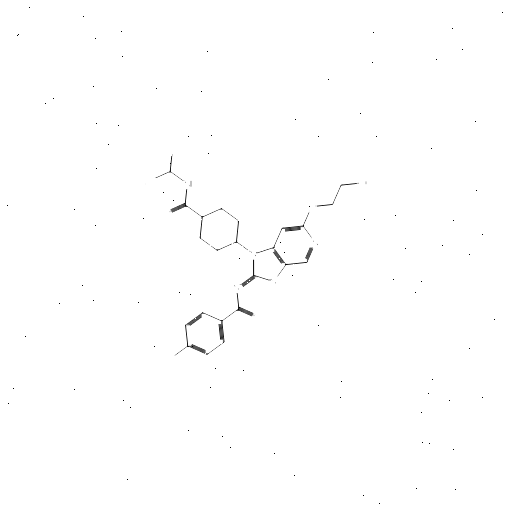 CC(C)NC(=O)C1CCC(n2/c(=N/C(=O)c3ccc(F)cc3)[nH]c3cnc(OCCO)cc32)CC1